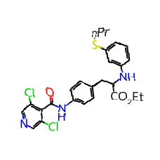 CCCSc1cccc(NC(Cc2ccc(NC(=O)c3c(Cl)cncc3Cl)cc2)C(=O)OCC)c1